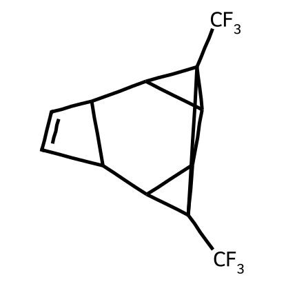 FC(F)(F)C12C3C4C=CC4C4C(C31)C42C(F)(F)F